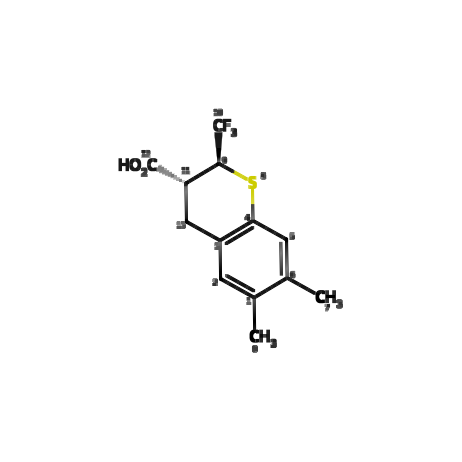 Cc1cc2c(cc1C)S[C@H](C(F)(F)F)[C@@H](C(=O)O)C2